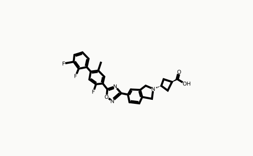 Cc1cc(-c2nc(-c3ccc4c(c3)CN([C@H]3C[C@H](C(=O)O)C3)C4)no2)c(F)cc1-c1cccc(F)c1F